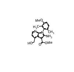 COC(=O)c1c(N)n(-c2c(C)ccc(OC)c2C)c2nccc(CO)c12